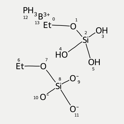 CCO[Si](O)(O)O.CCO[Si]([O-])([O-])[O-].P.[B+3]